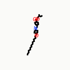 CCCCCCCCCCCCCCOc1ccc(N=Cc2ccc(C(=O)OCC(C)CC)cc2)cc1